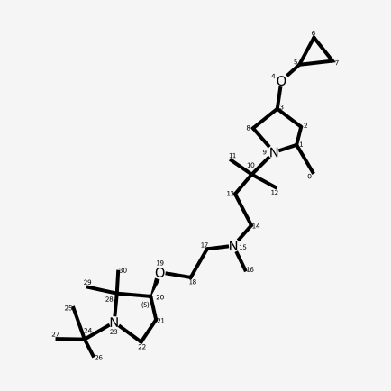 CC1CC(OC2CC2)CN1C(C)(C)CCN(C)CCO[C@H]1CCN(C(C)(C)C)C1(C)C